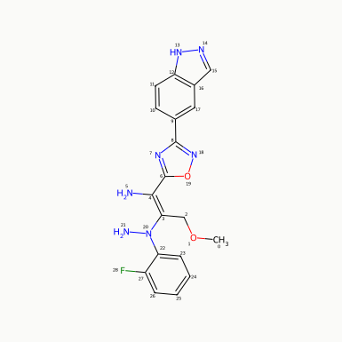 COC/C(=C(/N)c1nc(-c2ccc3[nH]ncc3c2)no1)N(N)c1ccccc1F